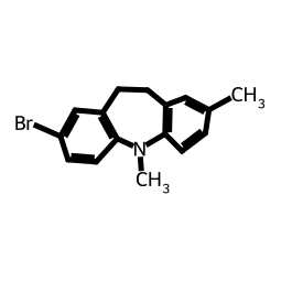 Cc1ccc2c(c1)CCc1cc(Br)ccc1N2C